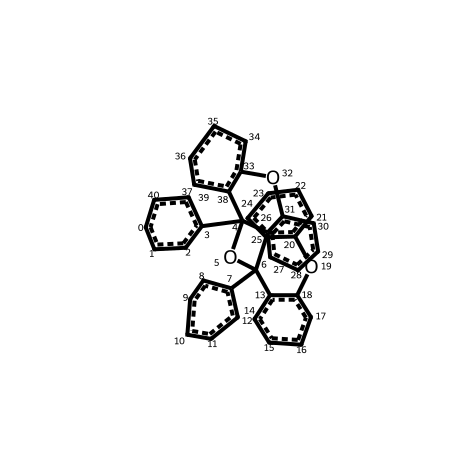 c1ccc(C2(OC3(c4ccccc4)c4ccccc4Oc4ccccc43)c3ccccc3Oc3ccccc32)cc1